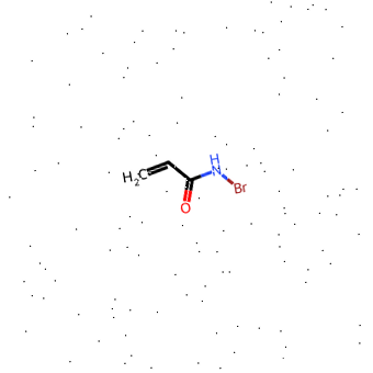 C=CC(=O)NBr